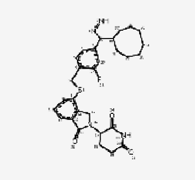 N=NC(c1ccc(CSc2cccc3c2CN(C2CCC(=O)NC2=O)C3=O)c(F)c1)C1CCCCCCC1